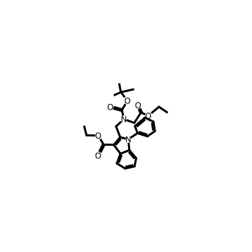 CCOC(=O)CN(Cc1c(C(=O)OCC)c2ccccc2n1-c1ccccc1)C(=O)OC(C)(C)C